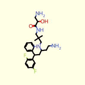 CC(C)(CNC(=O)C(O)CN)CNC(CCN)CC(c1ccccc1)c1cc(F)ccc1F